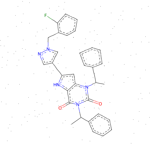 CC(c1ccccc1)n1c(=O)c2[nH]c(-c3cnn(Cc4ccccc4F)c3)cc2n(C(C)c2ccccc2)c1=O